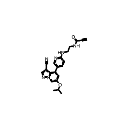 C#CC(=O)NCCNc1ccc(-c2cc(OC(C)C)cn3ncc(C#N)c23)cn1